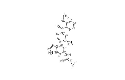 CSc1ccccc1C(=O)N1CC=C(c2cc(NC(=O)C3CC3)nc3[nH]ccc23)C(C)C1